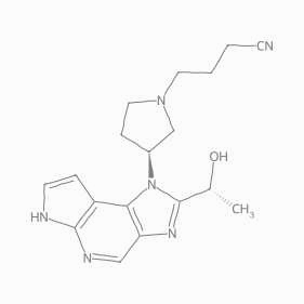 C[C@@H](O)c1nc2cnc3[nH]ccc3c2n1[C@H]1CCN(CCCC#N)C1